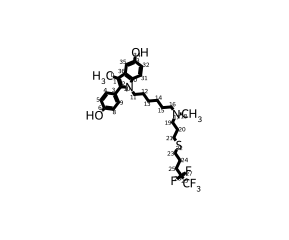 Cc1c(-c2ccc(O)cc2)n(CCCCCCN(C)CCCSCCCC(F)(F)C(F)(F)F)c2ccc(O)cc12